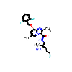 Cc1cc(OCc2c(F)cccc2F)c2nc(C)c(C(=O)NCC(C)(N)CCCF)n2c1